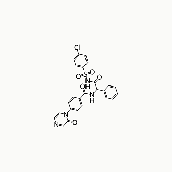 O=C(NC(C(=O)NS(=O)(=O)c1ccc(Cl)cc1)c1ccccc1)c1ccc(-n2ccncc2=O)cc1